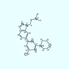 CN(C)CCn1ncc2ccc(-c3cc(Cl)nc(N4CCOCC4)n3)cc21